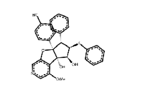 COc1cncc2c1[C@]1(O)[C@H](O)[C@H](Sc3ccccc3)[C@@H](c3ccccc3)[C@]1(c1ccc(C#N)cc1)O2